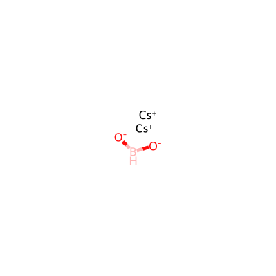 [Cs+].[Cs+].[O-]B[O-]